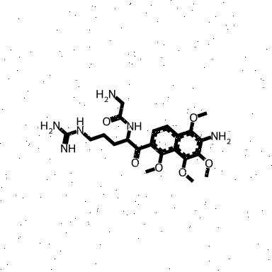 COc1c(N)c(OC)c2ccc(C(=O)C(CCCNC(=N)N)NC(=O)CN)c(OC)c2c1OC